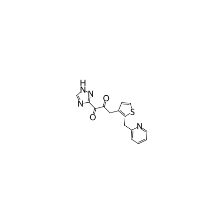 O=C(Cc1ccsc1Cc1ccccn1)C(=O)c1nc[nH]n1